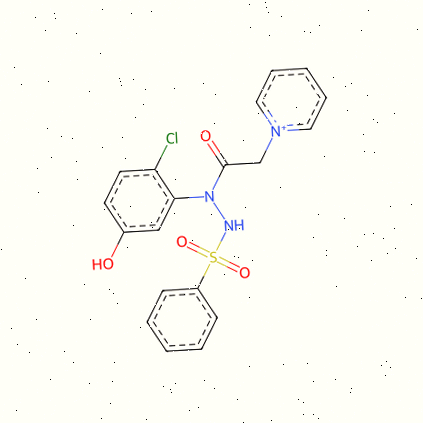 O=C(C[n+]1ccccc1)N(NS(=O)(=O)c1ccccc1)c1cc(O)ccc1Cl